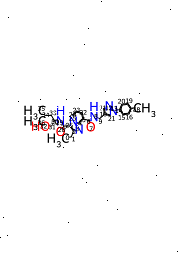 CCc1nc2c(C(=O)NCc3cnn(-c4ccc(C)cc4)c3)cccn2c1C(=O)N[C@H](CO)CC(C)C